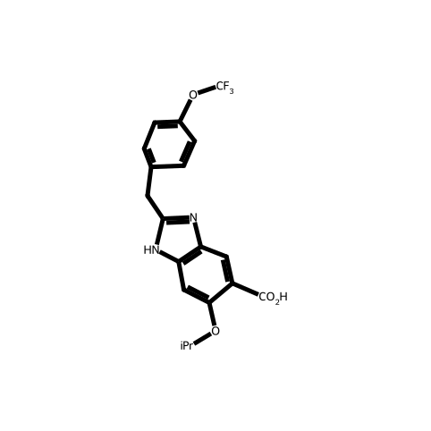 CC(C)Oc1cc2[nH]c(Cc3ccc(OC(F)(F)F)cc3)nc2cc1C(=O)O